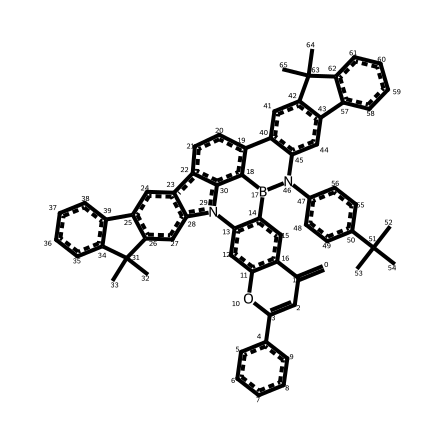 C=C1C=C(c2ccccc2)Oc2cc3c(cc21)B1c2c(ccc4c5cc6c(cc5n-3c24)C(C)(C)c2ccccc2-6)-c2cc3c(cc2N1c1ccc(C(C)(C)C)cc1)-c1ccccc1C3(C)C